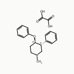 CN1CC[C@@H](Oc2ccccc2)[C@H](c2ccccc2)C1.O=C(O)C(=O)O